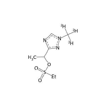 [2H]C([2H])([2H])n1cnc(C(C)OS(=O)(=O)CC)n1